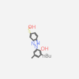 CCCCc1cc(C)cc(-n2nc3ccc(SO)cc3n2)c1O